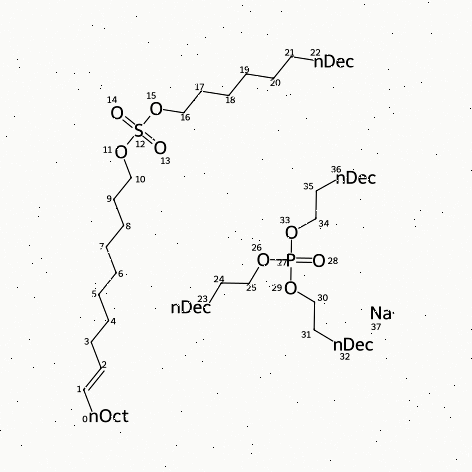 CCCCCCCCC=CCCCCCCCCOS(=O)(=O)OCCCCCCCCCCCCCCCC.CCCCCCCCCCCCOP(=O)(OCCCCCCCCCCCC)OCCCCCCCCCCCC.[Na]